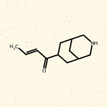 CC=CC(=O)C1CC2CNCC(C2)C1